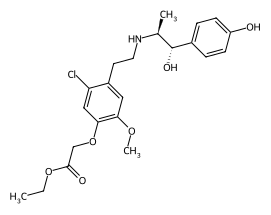 CCOC(=O)COc1cc(Cl)c(CCN[C@@H](C)[C@@H](O)c2ccc(O)cc2)cc1OC